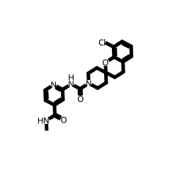 CNC(=O)c1ccnc(NC(=O)N2CCC3(CCc4cccc(Cl)c4O3)CC2)c1